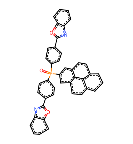 O=P(c1ccc(-c2nc3ccccc3o2)cc1)(c1ccc(-c2nc3ccccc3o2)cc1)c1cc2ccc3cccc4ccc(c1)c2c34